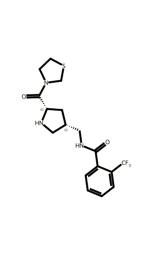 O=C(NC[C@@H]1CN[C@H](C(=O)N2CCSC2)C1)c1ccccc1C(F)(F)F